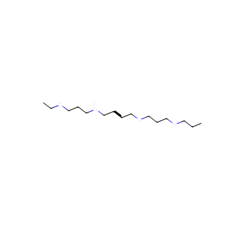 CCCNCCCNC/C=C/CNCCCNCC.Cl.Cl.Cl.Cl